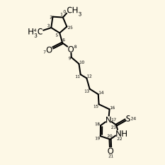 CC1CC(C)C(C(=O)OCCCCCCCCn2ccc(=O)[nH]c2=S)C1